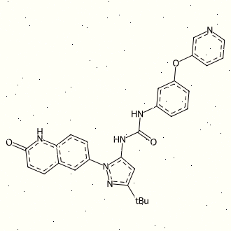 CC(C)(C)c1cc(NC(=O)Nc2cccc(Oc3cccnc3)c2)n(-c2ccc3[nH]c(=O)ccc3c2)n1